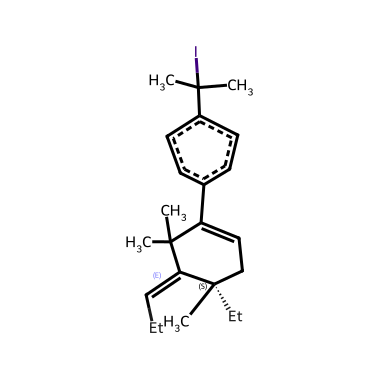 CC/C=C1/C(C)(C)C(c2ccc(C(C)(C)I)cc2)=CC[C@]1(C)CC